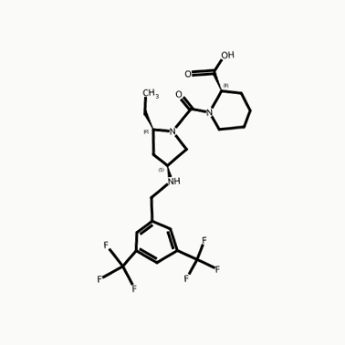 CC[C@@H]1C[C@H](NCc2cc(C(F)(F)F)cc(C(F)(F)F)c2)CN1C(=O)N1CCCC[C@@H]1C(=O)O